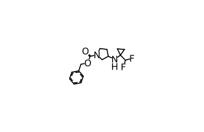 O=C(OCc1ccccc1)N1CCC(NC2(C(F)F)CC2)C1